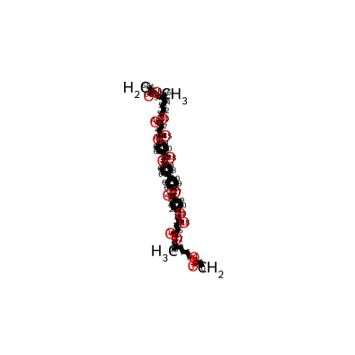 C=CC(=O)OCCCCC(C)COC(=O)CCC(=O)COc1ccc(C(=O)Oc2ccc(-c3ccc(OC(=O)c4ccc(OC(=O)CCC(=O)OCCCCC(C)COC(=O)C=C)cc4)cc3)cc2)cc1